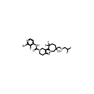 O=C(Nc1ccnc(Br)c1F)N1CCc2nn3c(c2C1)C(F)(F)CCC(O)(COCC(F)F)C3